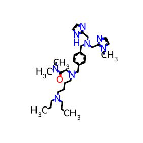 CCCN(CCC)CCCCN(CC(=O)N(C)C)Cc1ccc(CN(Cc2ncc[nH]2)Cc2nccn2C)cc1